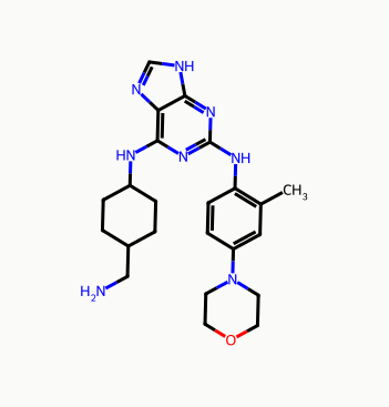 Cc1cc(N2CCOCC2)ccc1Nc1nc(NC2CCC(CN)CC2)c2nc[nH]c2n1